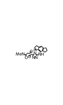 CNC(=O)CS(=O)(=O)c1nnc(Nc2c3c(cc4c2CCC4)CCC3)[nH]1